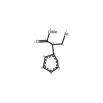 COC(=O)C(CC(C)=O)c1ccccc1